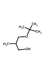 CC(CO)COC(C)(C)C